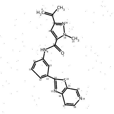 C=C(C)c1cc(C(=O)Nc2cccc(-c3nc4ccncc4s3)c2)n(C)n1